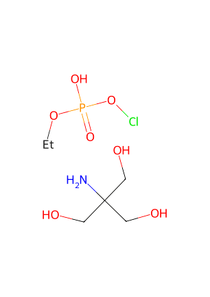 CCOP(=O)(O)OCl.NC(CO)(CO)CO